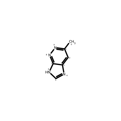 Cc1cc2nc[nH]c2nn1